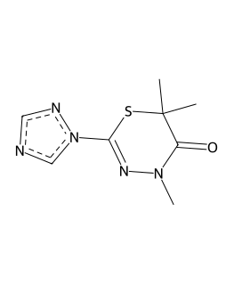 CN1N=C(n2cncn2)SC(C)(C)C1=O